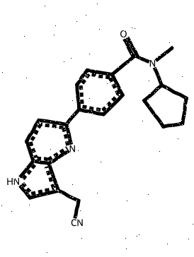 CN(C(=O)c1ccc(-c2ccc3[nH]cc(CC#N)c3n2)cc1)C1CCCC1